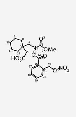 COC(=O)N(CC1(CC(=O)O)CCCCC1)OC(=O)c1ccccc1CO[N+](=O)[O-]